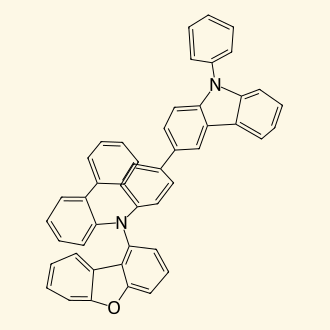 c1ccc(-c2ccccc2N(c2ccc(-c3ccc4c(c3)c3ccccc3n4-c3ccccc3)cc2)c2cccc3oc4ccccc4c23)cc1